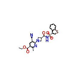 CCOC(=O)c1cc(C#N)c(N2CC(C(=O)NS(=O)(=O)c3csc4ccccc34)C2)nc1C